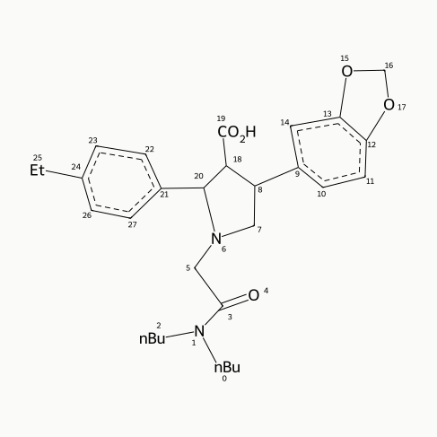 CCCCN(CCCC)C(=O)CN1CC(c2ccc3c(c2)OCO3)C(C(=O)O)C1c1ccc(CC)cc1